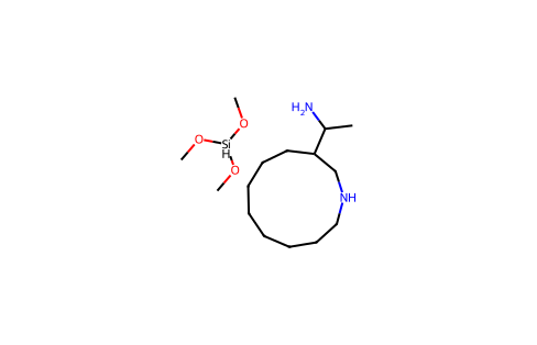 CC(N)C1CCCCCCCCNC1.CO[SiH](OC)OC